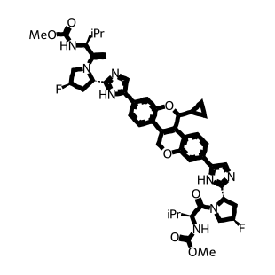 C=C([C@@H](NC(=O)OC)C(C)C)N1C[C@H](F)C[C@H]1c1ncc(-c2ccc3c(c2)OC(C2CC2)C2=C3COc3cc(-c4cnc([C@@H]5C[C@@H](F)CN5C(=O)[C@@H](NC(=O)OC)C(C)C)[nH]4)ccc32)[nH]1